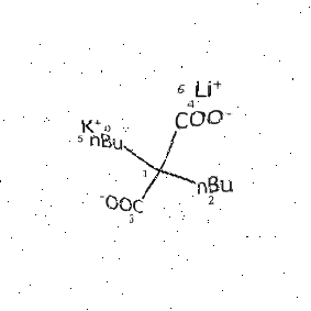 CCCCC(CCCC)(C(=O)[O-])C(=O)[O-].[K+].[Li+]